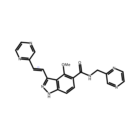 COc1c(C(=O)NCc2cnccn2)ccc2[nH]nc(/C=C/c3cnccn3)c12